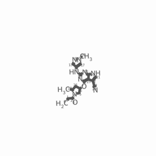 C=CC(=O)N1CC(Oc2nc(Nc3cnn(C)c3)nc3[nH]cc(C#N)c23)CC1C